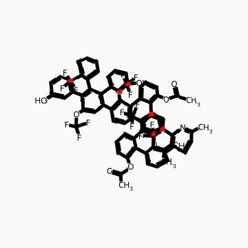 CC(=O)Oc1cccc(-c2cccc(-c3c(OC(C)=O)cccc3-c3cccc(-c4[c]c(OC(F)(F)F)c(-c5cccc(O)c5)c(-c5ccccc5C(F)(F)F)c4-c4cccc(O)c4)c3OC(F)(F)F)c2C(F)(F)F)c1-c1cccc(-c2ccc(C)nc2-c2ccccc2OC(C)C)c1C(F)(F)F